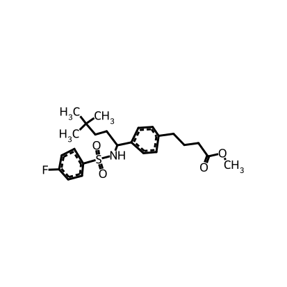 COC(=O)CCCc1ccc(C(CCC(C)(C)C)NS(=O)(=O)c2ccc(F)cc2)cc1